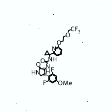 COc1cc(F)c([C@@H]2CNC(=O)[C@H]2NC(=O)NC2(c3cccc(OCCOCC(F)(F)F)n3)CC2)c(F)c1